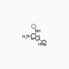 Nc1cc(NC2CCCC2)c2sc(-c3ccn[nH]3)cc2n1